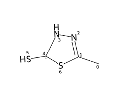 CC1=NN[C](S)S1